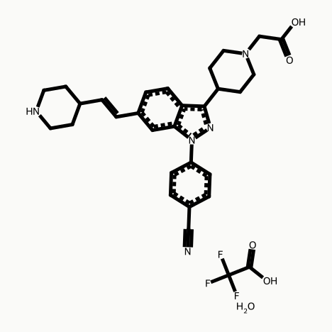 N#Cc1ccc(-n2nc(C3CCN(CC(=O)O)CC3)c3ccc(C=CC4CCNCC4)cc32)cc1.O.O=C(O)C(F)(F)F